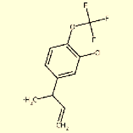 [CH2]C(C=C)c1ccc(OC(F)(F)F)c(Cl)c1